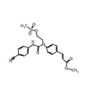 COC(=O)C=Cc1ccc(N(CCOS(C)(=O)=O)C(=O)Nc2ccc(C#N)cc2)cc1